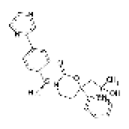 C[C@@H](c1ccc(-c2cnccn2)cc1)N1CCC(CC(C)(C)O)(c2ccccc2)OC1=O